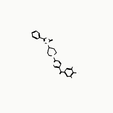 Cc1cc(C(=O)c2ccc(N3CCC(n4nc(-c5ccccc5)[nH]c4=O)CC3)nc2)cc(C)c1O